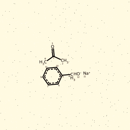 CC(C)=O.Cc1ccccc1.[Na+].[OH-]